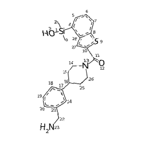 C[Si](C)(O)c1cccc2sc(C(=O)N3CCC(c4cccc(CN)c4)CC3)cc12